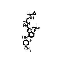 CN1CC[C@@H](Nc2cccc3c2cc(-c2noc(CNC(=O)C4CC4)n2)n3CC(F)(F)F)[C@@H](F)C1